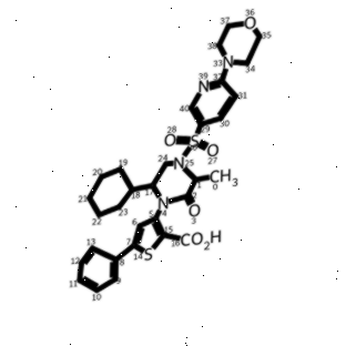 CC1C(=O)N(c2cc(-c3ccccc3)sc2C(=O)O)C(C2CCCCC2)CN1S(=O)(=O)c1ccc(N2CCOCC2)nc1